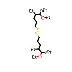 CCCC(OCC)C(CC)CCCSSCCCC(CC)C(CCC)OCC